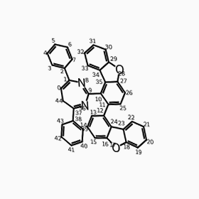 C1=C(c2ccccc2)N=C(c2c(-c3cccc4oc5ccccc5c34)ccc3oc4ccccc4c23)N=C(c2ccccc2)C1